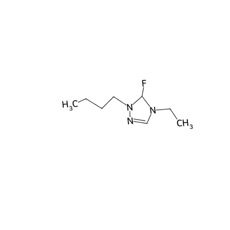 CCCCN1N=CN(CC)C1F